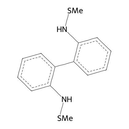 CSNc1ccccc1-c1ccccc1NSC